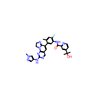 Cc1cc(F)c(NC(=O)c2cc(C(C)(C)O)ccn2)cc1C1=Cc2cnc(Nc3cnn(C)c3)nc2N2CCN=C12